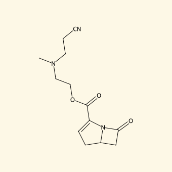 CN(CCC#N)CCOC(=O)C1=CCC2CC(=O)N12